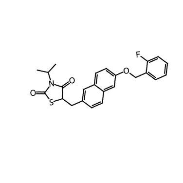 CC(C)N1C(=O)SC(Cc2ccc3cc(OCc4ccccc4F)ccc3c2)C1=O